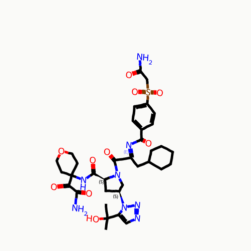 CC(C)(O)c1cnnn1[C@H]1C[C@@H](C(=O)NC2(C(=O)C(N)=O)CCOCC2)N(C(=O)/C(CC2CCCCC2)=N/C(=O)c2ccc(S(=O)(=O)CC(N)=O)cc2)C1